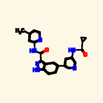 Cc1ccnc(NC(=O)c2n[nH]c3ccc(-c4cncc(NC(=O)C5CC5)c4)cc23)c1